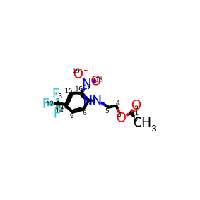 CC(=O)OCCNc1ccc(C(F)(F)F)cc1[N+](=O)[O-]